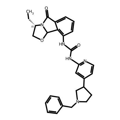 CC[C@H]1COC2c3c(NC(=O)Nc4cc(C5CCN(Cc6ccccc6)C5)ccn4)cccc3C(=O)N21